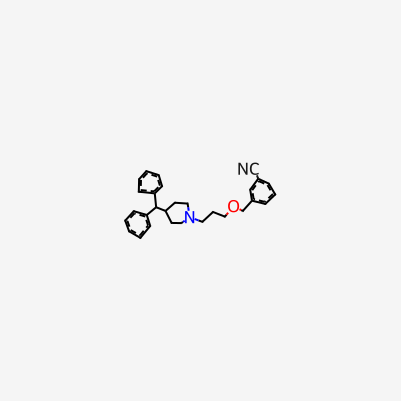 N#Cc1cccc(COCCCN2CCC(C(c3ccccc3)c3ccccc3)CC2)c1